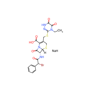 CCn1c(SCC2=C(C(=O)O)N3C(=O)[C@@H](NC(=O)C(Br)c4ccccc4)[C@H]3SC2)n[nH]c(=O)c1=O.[NaH]